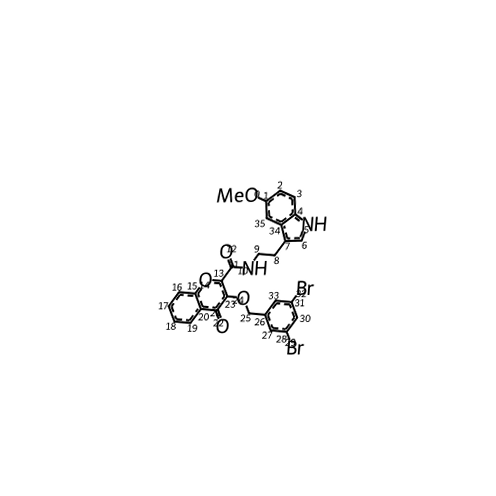 COc1ccc2[nH]cc(CCNC(=O)c3oc4ccccc4c(=O)c3OCc3cc(Br)cc(Br)c3)c2c1